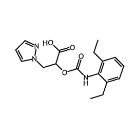 CCc1cccc(CC)c1NC(=O)OC(Cn1cccn1)C(=O)O